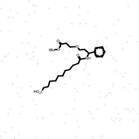 CC(C)(C)OC(=O)CCOCCC(NC(=O)CCCCCCCCCCC(=O)O)c1ccccc1